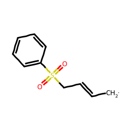 [CH2]/C=C/CS(=O)(=O)c1ccccc1